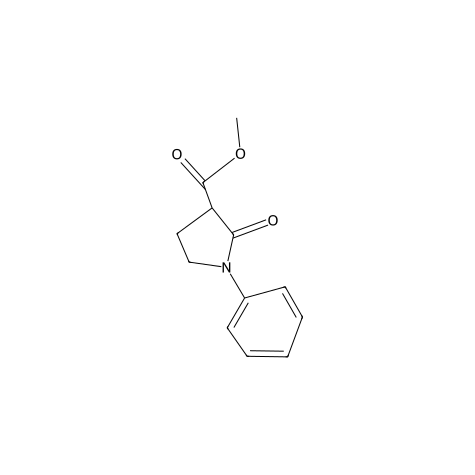 COC(=O)C1CCN(c2ccccc2)C1=O